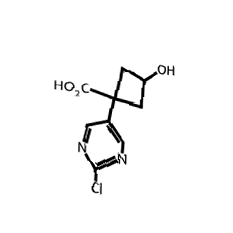 O=C(O)C1(c2cnc(Cl)nc2)CC(O)C1